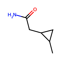 CC1CC1CC(N)=O